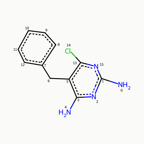 Nc1nc(N)c(Cc2ccccc2)c(Cl)n1